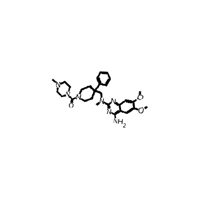 COc1cc2nc(N(C)CC3(c4ccccc4)CCN(C(=O)N4CCN(C)CC4)CC3)nc(N)c2cc1OC